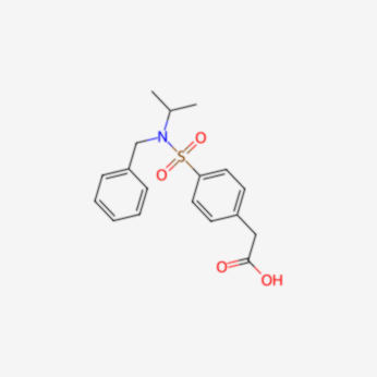 CC(C)N(Cc1ccccc1)S(=O)(=O)c1ccc(CC(=O)O)cc1